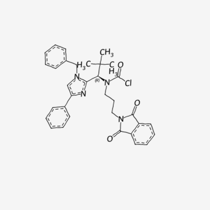 CC(C)(C)[C@H](c1nc(-c2ccccc2)cn1Cc1ccccc1)N(CCCN1C(=O)c2ccccc2C1=O)C(=O)Cl